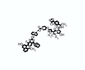 CCc1cccc2cc(O)cc(-c3ncc4c(N5CC6CCC(C5)N6)nc(OC[C@]56CCCN5[C@H](COC(=O)N5CCC(Oc7cc([C@@H](C(=O)N8C[C@H](O)C[C@H]8C(=O)N[C@@H](C)c8ccc(-c9scnc9C)cc8)C(C)C)on7)CC5)CC6)nc4c3F)c12